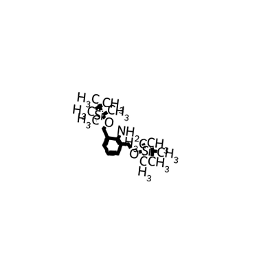 CC(C)(C)[Si](C)(C)OCc1cccc(CO[Si](C)(C)C(C)(C)C)c1N